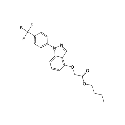 CCCCOC(=O)COc1cccc2c1cnn2-c1ccc(C(F)(F)F)cc1